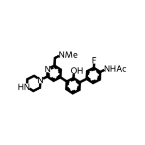 CNCc1cc(-c2cccc(-c3ccc(NC(C)=O)c(F)c3)c2O)cc(N2CCNCC2)n1